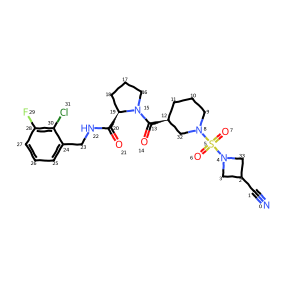 N#CC1CN(S(=O)(=O)N2CCC[C@H](C(=O)N3CCC[C@@H]3C(=O)NCc3cccc(F)c3Cl)C2)C1